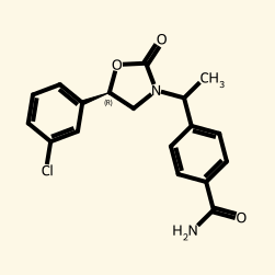 CC(c1ccc(C(N)=O)cc1)N1C[C@@H](c2cccc(Cl)c2)OC1=O